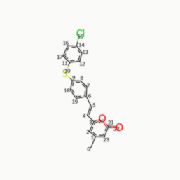 Cc1cc(C=Cc2ccc(Sc3ccc(Cl)cc3)cc2)oc(=O)c1